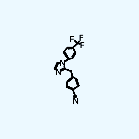 N#Cc1ccc(Cc2nccn2-c2ccc(C(F)(F)F)cc2)cc1